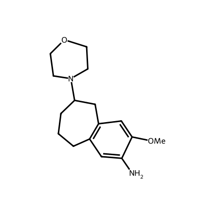 COc1cc2c(cc1N)CCCC(N1CCOCC1)C2